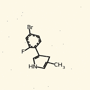 CC1=CNC=C(c2ccc(Br)cc2F)C1